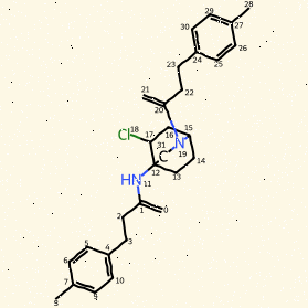 C=C(CCc1ccc(C)cc1)NC12CCC(CC1Cl)N(C(=C)CCc1ccc(C)cc1)C2